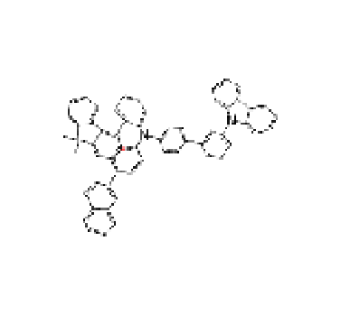 CC1(C)c2ccccc2-c2c(-c3ccccc3N(c3ccc(-c4cccc(-n5c6ccccc6c6ccccc65)c4)cc3)c3ccc(-c4ccc5ccccc5c4)cc3)cccc21